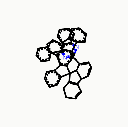 C1=CC2C3=C(CCC=C3)C3(c4ccccc4-c4c3cc3c5c(cccc45)-c4ccccc4-3)C2C(c2nc(-c3ccccc3)c3ccccc3n2)=C1